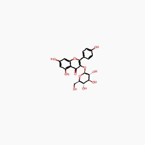 O=c1c(O[C@@H]2O[C@H](CO)[C@@H](O)[C@H](O)[C@H]2O)c(-c2ccc(O)cc2)oc2cc(O)cc(O)c12